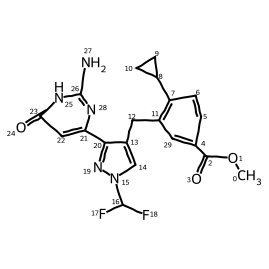 COC(=O)c1ccc(C2CC2)c(Cc2cn(C(F)F)nc2-c2cc(=O)[nH]c(N)n2)c1